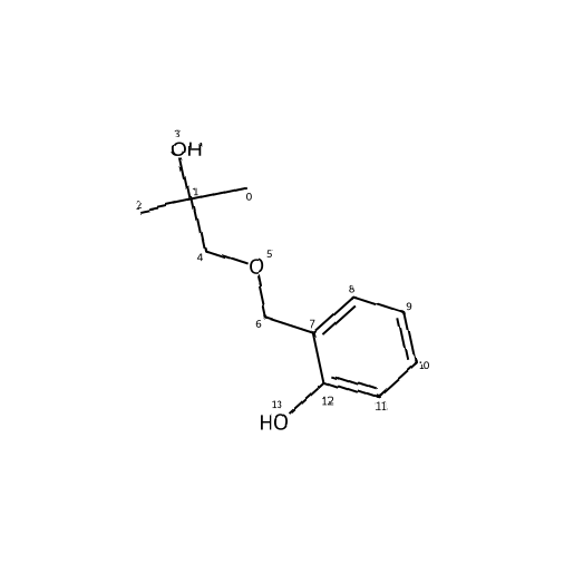 CC(C)(O)COCc1ccccc1O